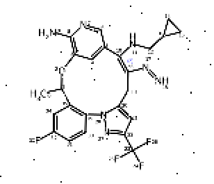 CC1Oc2cc(cnc2N)/C(NCC2CC2)=C(/N=N)Cc2cc(C(F)(F)F)nn2-c2ccc(F)cc21